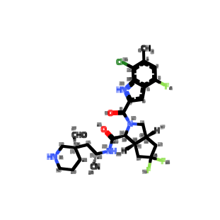 Cc1cc(F)c2cc(C(=O)N3C[C@@H]4CC(F)(F)C[C@@H]4[C@H]3C(=O)N[C@H](C#N)C[C@@]3(C=O)CCCNC3)[nH]c2c1Cl